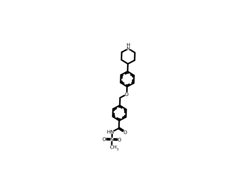 CS(=O)(=O)NC(=O)c1ccc(COc2ccc(C3CCNCC3)cc2)cc1